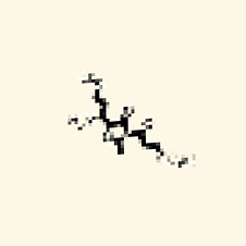 CCOC(=O)CCC(=O)N1C(=O)C([C@H](N)CCSCC)OC1C